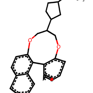 CCC1CCC(C2COc3ccc4ccccc4c3-c3c(ccc4ccccc34)OC2)C1